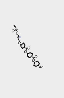 C=CC(=O)OC/C=C/COc1ccc(C(=O)Oc2ccc(C(=O)Oc3ccc(C(C)=O)cc3)cc2)cc1